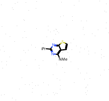 CNc1nc(C(C)C)nc2sccc12